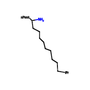 CCCCCC(N)CCCCCCCCCC(C)C